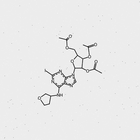 CC(=O)OCC1OC(n2cnc3c(NC4CCOC4)nc(I)nc32)C(OC(C)=O)C1OC(C)=O